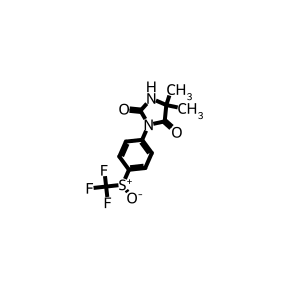 CC1(C)NC(=O)N(c2ccc([S+]([O-])C(F)(F)F)cc2)C1=O